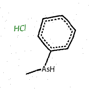 C[AsH]c1ccccc1.Cl